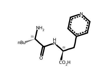 CCCC[C@H](N)C(=O)N[C@@H](Cc1ccncc1)C(=O)O